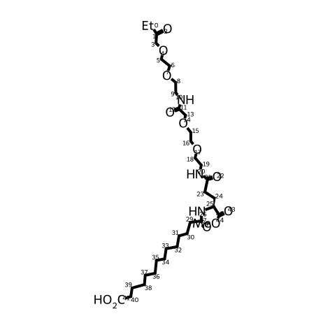 CCC(=O)COCCOCCNC(=O)COCCOCCNC(=O)CC[C@H](NC(=O)CCCCCCCCCCCCC(=O)O)C(=O)OC